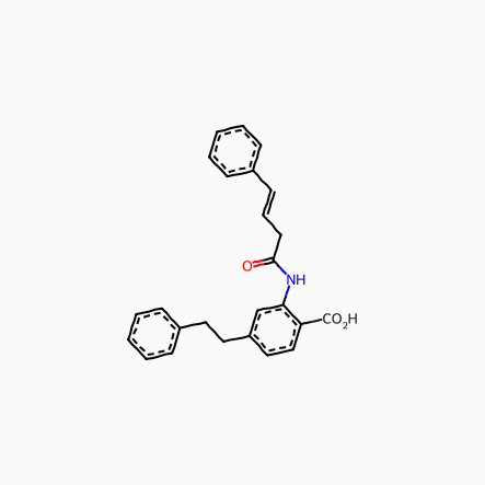 O=C(C/C=C/c1ccccc1)Nc1cc(CCc2ccccc2)ccc1C(=O)O